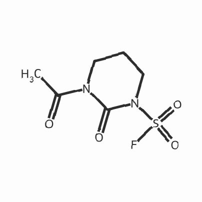 CC(=O)N1CCCN(S(=O)(=O)F)C1=O